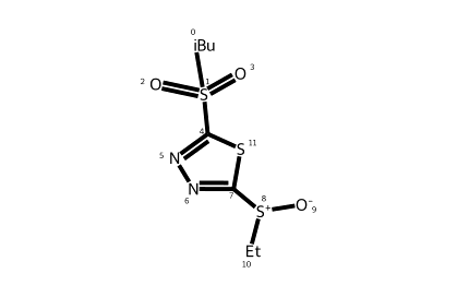 CCC(C)S(=O)(=O)c1nnc([S+]([O-])CC)s1